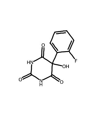 O=C1NC(=O)C(O)(c2ccccc2F)C(=O)N1